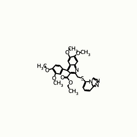 CCOC(=O)c1c(CSc2cccc3nncn23)nc2cc(OC)c(OC)cc2c1-c1ccc(OC)c(OC)c1